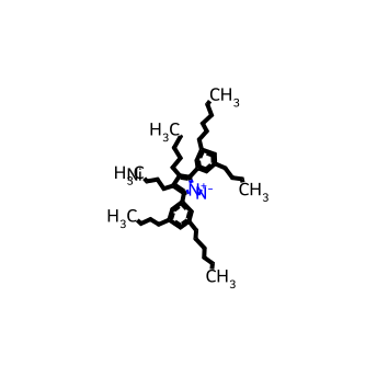 CCCCCCc1cc(CCCC)cc(C2=C(CCCC)C(CCCCC)=C(c3cc(CCCC)cc(CCCCCC)c3)[N+]2=[N-])c1.[Ni]